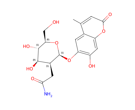 Cc1cc(=O)oc2cc(O)c(O[C@@H]3O[C@H](CO)[C@@H](O)[C@H](O)[C@@H]3CC(N)=O)cc12